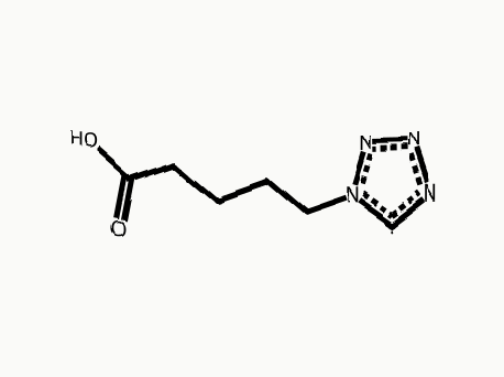 O=C(O)CCCCn1[c]nnn1